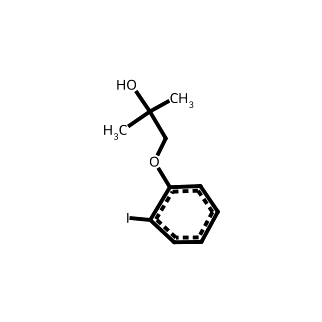 CC(C)(O)COc1ccccc1I